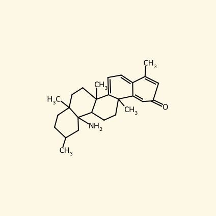 CC1=CC(=O)C=C2C1=CC=C1C2(C)CCC2C1(C)CCC1(C)CCC(C)CC21N